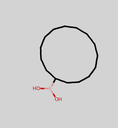 OB(O)C1CCCCCCCCCCCCCC1